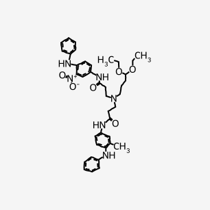 CCOC(CCCN(CCC(=O)Nc1ccc(Nc2ccccc2)c(C)c1)CCC(=O)Nc1ccc(Nc2ccccc2)c([N+](=O)[O-])c1)OCC